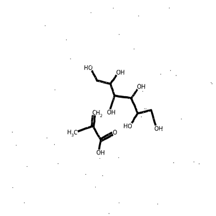 C=C(C)C(=O)O.OCC(O)C(O)C(O)C(O)CO